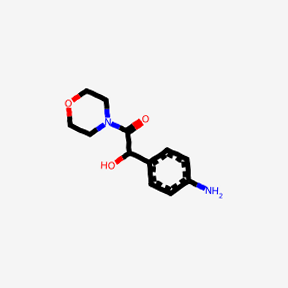 Nc1ccc(C(O)C(=O)N2CCOCC2)cc1